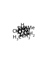 CNC(Nc1cc(N(C)C)cc(Cl)c1SC)C(CCC(C)C)C(N)=O